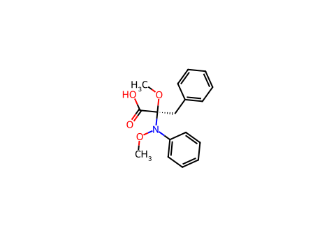 CON(c1ccccc1)[C@](Cc1ccccc1)(OC)C(=O)O